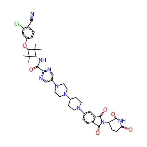 CC1(C)[C@H](NC(=O)c2ncc(N3CCN(C4CCN(c5ccc6c(c5)C(=O)N(C5CCC(=O)NC5=O)C6=O)CC4)CC3)cn2)C(C)(C)[C@H]1Oc1ccc(C#N)c(Cl)c1